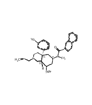 C=CCN1CC[C@@]2(c3cccc(O)c3)C[C@@H](N(C)C(=O)c3ccc4ccccc4c3)CC(OC)[C@@H]2C1